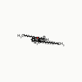 CCCCCCCCCCCCCCCCCC(=O)O.CCCCCCCCCCCCCCCC[N+](C)(C)C(N)CC.Cc1ccccc1